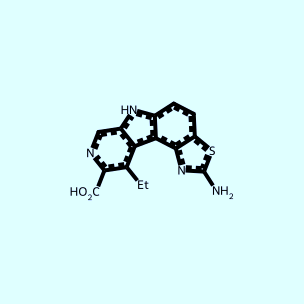 CCc1c(C(=O)O)ncc2[nH]c3ccc4sc(N)nc4c3c12